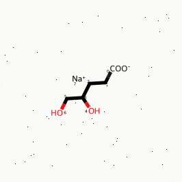 O=C([O-])CCC(O)CO.[Na+]